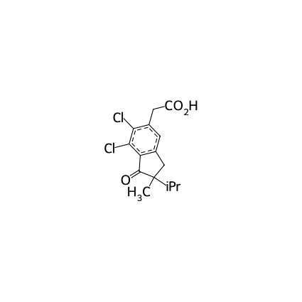 CC(C)C1(C)Cc2cc(CC(=O)O)c(Cl)c(Cl)c2C1=O